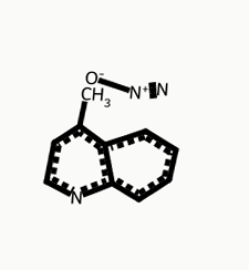 Cc1ccnc2ccccc12.N#[N+][O-]